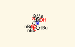 CCCCOc1ccc(C(C)(C)C)cc1C(O)(c1cc(C(C)(C)C)ccc1OCCCC)[C@@H](C)N=Cc1cc(C(=O)OC)ccc1O